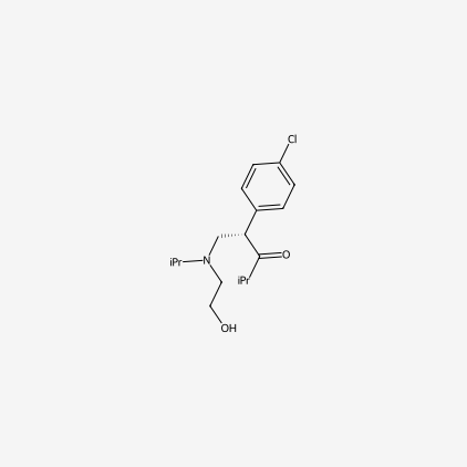 CC(C)C(=O)[C@H](CN(CCO)C(C)C)c1ccc(Cl)cc1